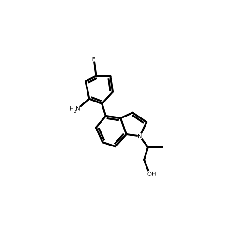 CC(CO)n1ccc2c(-c3ccc(F)cc3N)cccc21